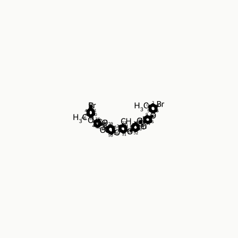 Cc1cc(Br)cc(Oc2ccc(S(=O)(=O)c3ccc(Oc4cc(C)cc(Oc5ccc(S(=O)(=O)c6ccc(Oc7ccc(Br)cc7C)cc6)cc5)c4)cc3)cc2)c1